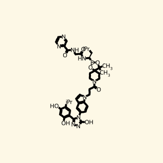 CC(C)C[C@H](NC(=O)CNC(=O)c1cnccn1)B1OC(C)(C)C2(CCN(C(=O)CCn3ccc4cc(-n5c(O)nnc5-c5cc(C(C)C)c(O)cc5O)ccc43)CC2)O1